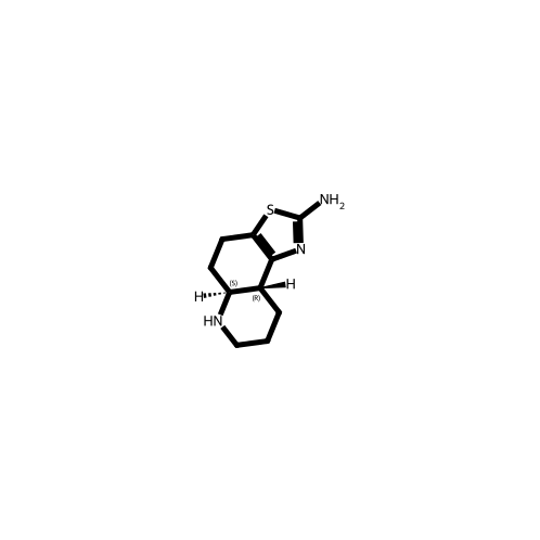 Nc1nc2c(s1)CC[C@@H]1NCCC[C@@H]21